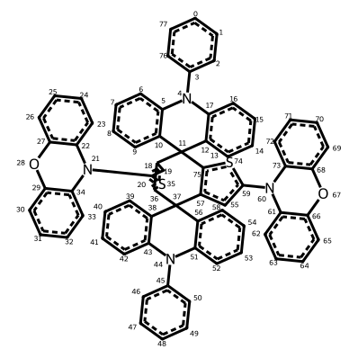 c1ccc(N2c3ccccc3C3(c4ccccc42)c2cc(N4c5ccccc5Oc5ccccc54)sc2C2(c4ccccc4N(c4ccccc4)c4ccccc42)c2cc(N4c5ccccc5Oc5ccccc54)sc23)cc1